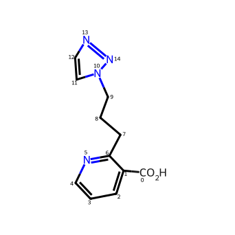 O=C(O)c1cccnc1CCCn1ccnn1